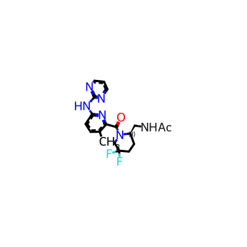 CC(=O)NC[C@H]1CCC(F)(F)CN1C(=O)c1nc(Nc2ncccn2)ccc1C